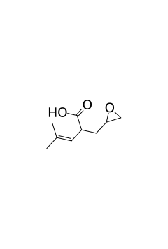 CC(C)=CC(CC1CO1)C(=O)O